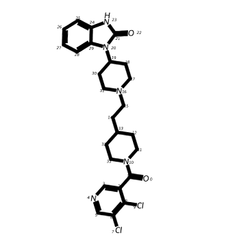 O=C(c1cncc(Cl)c1Cl)N1CCC(CCN2CCC(n3c(=O)[nH]c4ccccc43)CC2)CC1